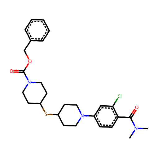 CN(C)C(=O)c1ccc(N2CCC(SC3CCN(C(=O)OCc4ccccc4)CC3)CC2)cc1Cl